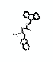 O=C(N[C@H](Cc1cnc2ccccc2c1)C(=O)O)OCC1c2ccccc2-c2ccccc21